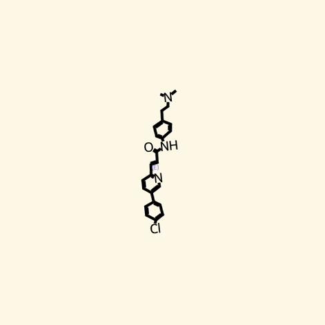 CN(C)CCc1ccc(NC(=O)/C=C/c2ccc(-c3ccc(Cl)cc3)cn2)cc1